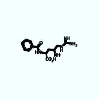 [NH]C(CNC(=N)N)C[C@H](NC(=O)c1ccccc1)C(=O)O